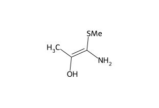 CS/C(N)=C(\C)O